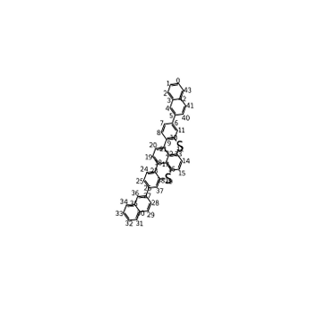 c1ccc2cc(-c3ccc4c(c3)Sc3ccc5c6c(ccc-4c36)-c3ccc(-c4ccc6ccccc6c4)cc3S5)ccc2c1